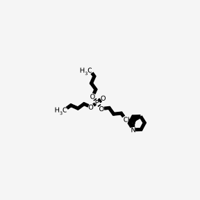 C1CN2CCC1CC2.CCCCOP(=O)(OCCCC)OCCCC